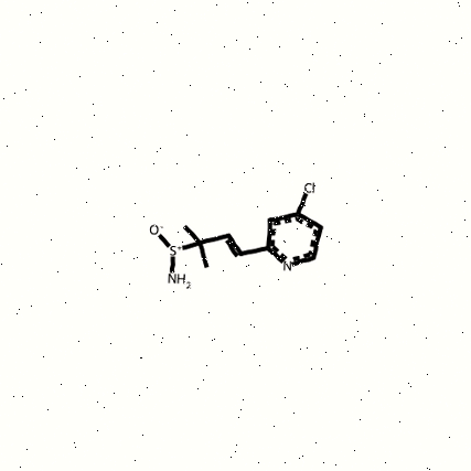 CC(C)(C=Cc1cc(Cl)ccn1)[S+](N)[O-]